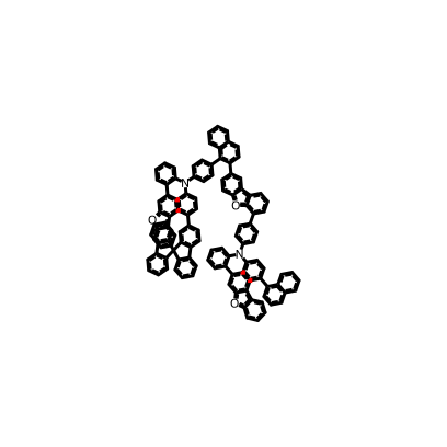 c1ccc(N(c2ccc(-c3ccc4c(c3)C3(c5ccccc5-c5ccccc53)c3ccccc3-4)cc2)c2ccc(-c3c(-c4ccc5oc6c(-c7ccc(N(c8ccc(-c9cccc%10ccccc9%10)cc8)c8ccccc8-c8ccc9c(c8)oc8ccccc89)cc7)cccc6c5c4)ccc4ccccc34)cc2)c(-c2ccc3c(c2)oc2ccccc23)c1